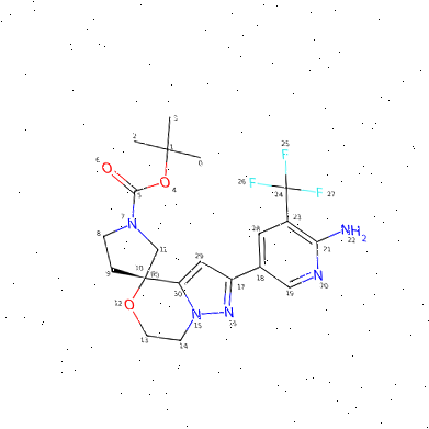 CC(C)(C)OC(=O)N1CC[C@]2(C1)OCCn1nc(-c3cnc(N)c(C(F)(F)F)c3)cc12